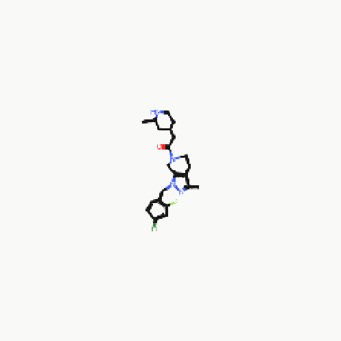 Cc1nn(Cc2ccc(Cl)cc2F)c2c1CCN(C(=O)CC1CCNC(C)C1)C2